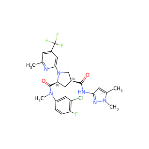 Cc1cc(C(F)(F)F)cc(N2C[C@@H](C(=O)Nc3cc(C)n(C)n3)C[C@H]2C(=O)N(C)c2ccc(F)c(Cl)c2)n1